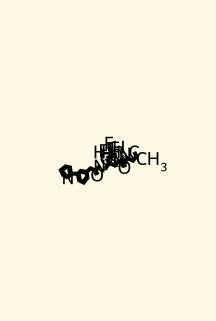 CC(C)C[C@H](N)C(=O)NCC(CNC(=O)Cc1cccc(-c2ccccn2)c1)OC(=O)C(F)(F)F